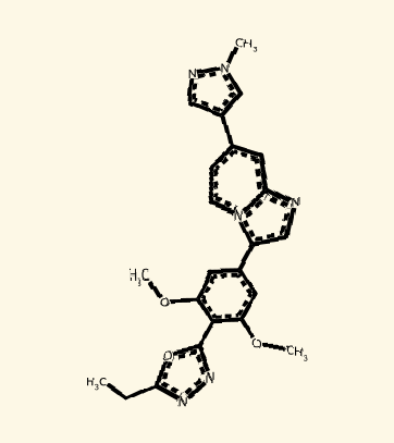 CCc1nnc(-c2c(OC)cc(-c3cnc4cc(-c5cnn(C)c5)ccn34)cc2OC)o1